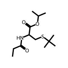 CCC(=O)NC(CSC(C)(C)C)C(=O)OC(C)C